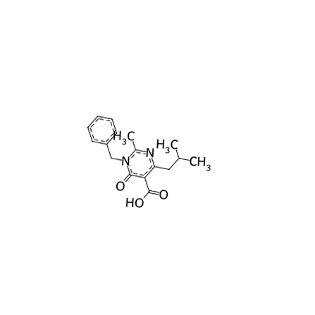 Cc1nc(CC(C)C)c(C(=O)O)c(=O)n1Cc1ccccc1